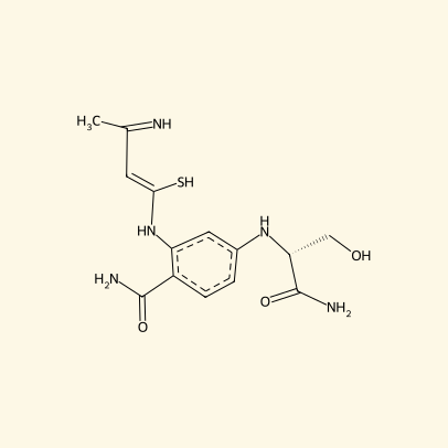 CC(=N)/C=C(\S)Nc1cc(N[C@H](CO)C(N)=O)ccc1C(N)=O